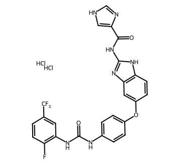 Cl.Cl.O=C(Nc1ccc(Oc2ccc3[nH]c(NC(=O)c4c[nH]cn4)nc3c2)cc1)Nc1cc(C(F)(F)F)ccc1F